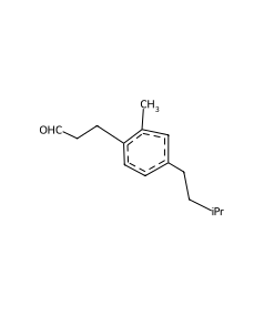 Cc1cc(CCC(C)C)ccc1CCC=O